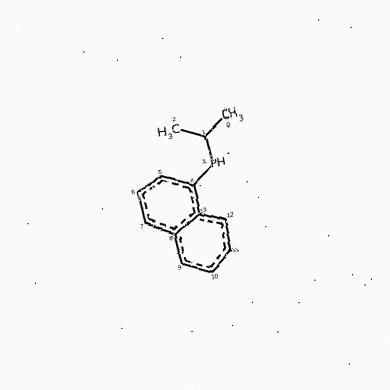 CC(C)Pc1cccc2ccccc12